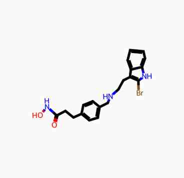 O=C(CCc1ccc(CNCCc2c(Br)[nH]c3ccccc23)cc1)NO